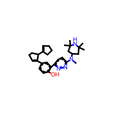 CN(c1ccc(-c2cc(C3=CCCC3C3=CCCC3)ccc2O)nn1)C1CC(C)(C)NC(C)(C)C1